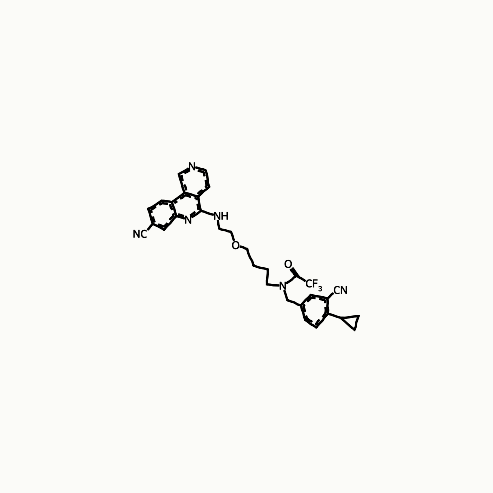 N#Cc1ccc2c(c1)nc(NCCOCCCCN(Cc1ccc(C3CC3)c(C#N)c1)C(=O)C(F)(F)F)c1ccncc12